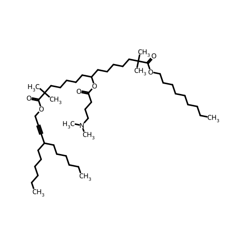 CCCCCCCCCOC(=O)C(C)(C)CCCCCC(CCCCCC(C)(C)C(=O)OCC#CC(CCCCCC)CCCCCC)OC(=O)CCCN(C)C